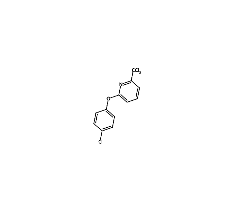 Clc1ccc(Oc2cccc(C(Cl)(Cl)Cl)n2)cc1